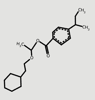 CCC(C)c1ccc(C(=O)OC(C)OCCC2CCCCC2)cc1